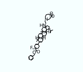 C=C(C)[C@@H]1CC[C@]2(NCCN3CCCS(=O)(=O)CC3)CC[C@]3(C)[C@H](CC[C@@H]4[C@@]5(C)CC=C(C6=CC[C@](CF)(C(=O)OCc7ccccc7)CC6)C(C)(C)[C@@H]5CC[C@]43C)C12